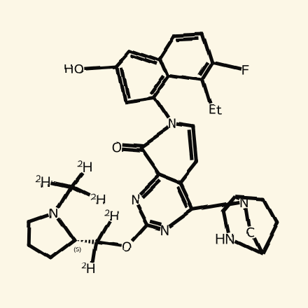 [2H]C([2H])(Oc1nc(N2CC3CCC2CN3)c2ccn(-c3cc(O)cc4ccc(F)c(CC)c34)c(=O)c2n1)[C@@H]1CCCN1C([2H])([2H])[2H]